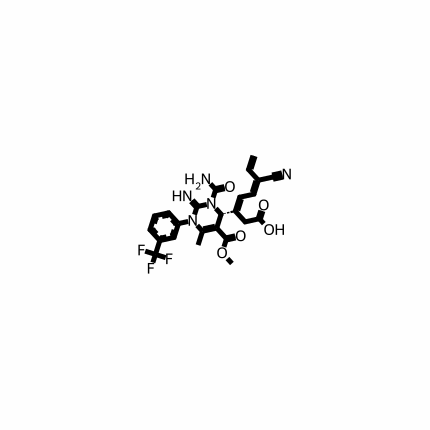 C=C/C(C#N)=C\C=C(/CC(=O)O)[C@@H]1C(C(=O)OC)=C(C)N(c2cccc(C(F)(F)F)c2)C(=N)N1C(N)=O